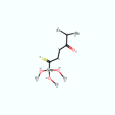 CCCCC(CC)C(=O)CCC(=S)[Si](OCC)(OCC)OCC